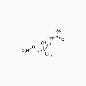 CC(=O)C(=O)NCC(C)(C)CO[N+](=O)[O-]